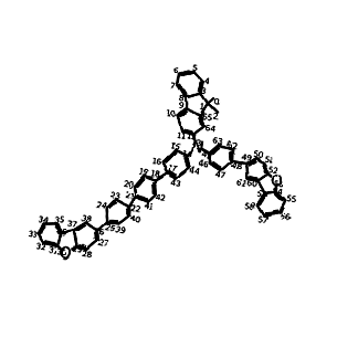 CC1(C)c2ccccc2-c2ccc(N(c3ccc(-c4ccc(-c5ccc(-c6ccc7oc8ccccc8c7c6)cc5)cc4)cc3)c3ccc(-c4ccc5oc6ccccc6c5c4)cc3)cc21